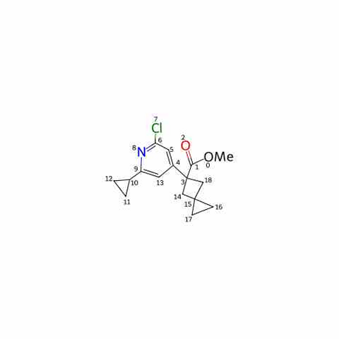 COC(=O)C1(c2cc(Cl)nc(C3CC3)c2)CC2(CC2)C1